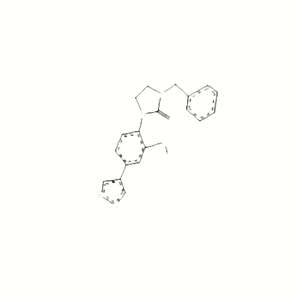 COc1cc(-c2cn[nH]c2)ccc1N1CCN(Cc2ccccc2)C1=O